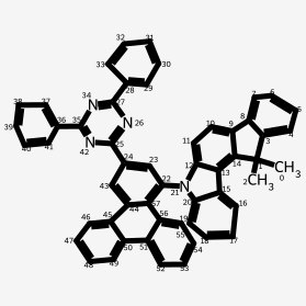 CC1(C)c2ccccc2-c2ccc3c(c21)c1ccccc1n3-c1cc(-c2nc(-c3ccccc3)nc(-c3ccccc3)n2)cc2c3ccccc3c3ccccc3c12